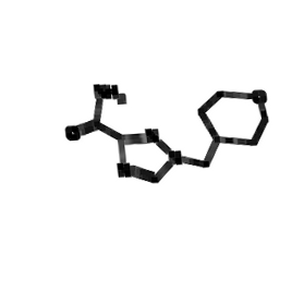 NC(=O)c1ncn(CC2CCOCC2)n1